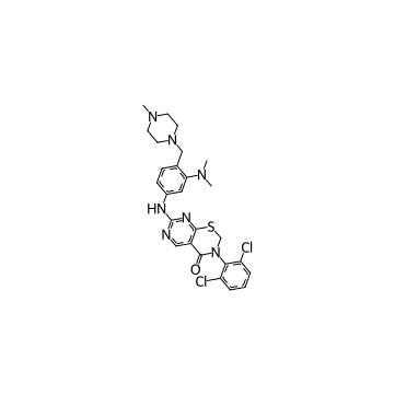 CN1CCN(Cc2ccc(Nc3ncc4c(n3)SCN(c3c(Cl)cccc3Cl)C4=O)cc2N(C)C)CC1